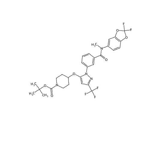 CN(C(=O)c1cccc(-n2nc(C(F)(F)F)cc2OC2CCN(C(=O)OC(C)(C)C)CC2)c1)c1ccc2c(c1)OC(F)(F)O2